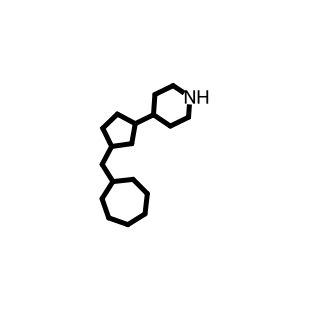 C1CCCC(CC2CCC(C3CCNCC3)C2)CC1